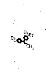 C=C/C=C(/c1ccc(OCC)cc1)c1ccc(N(CC)CC)cc1